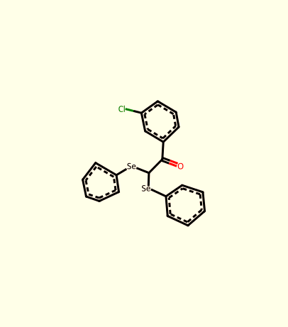 O=C(c1cccc(Cl)c1)C([Se]c1ccccc1)[Se]c1ccccc1